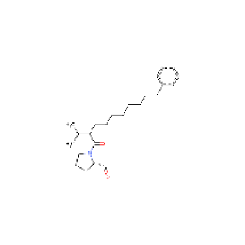 CC(C)C(CCCCCCCCc1ccccc1)C(=O)N1CCC[C@H]1C=O